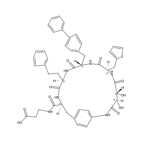 O=C(O)CCNC(=O)[C@@H]1Cc2ccc(cc2)NC(=O)[C@H](O)[C@@H](O)C(=O)N[C@H](Cc2cccs2)C(=O)N[C@@H](Cc2ccc(-c3ccccc3)cc2)C(=O)N[C@H](CCc2ccccc2)C(=O)N1